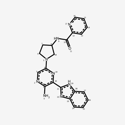 Nc1ncc(N2CCC(NC(=O)c3ccccn3)C2)nc1-c1nc2ccccc2[nH]1